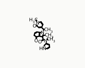 Cc1c(C(=O)N(C)C2=CC=CNC2)c2c(n1C(C)c1ccn(C)c(=O)c1)C=CCC2=O